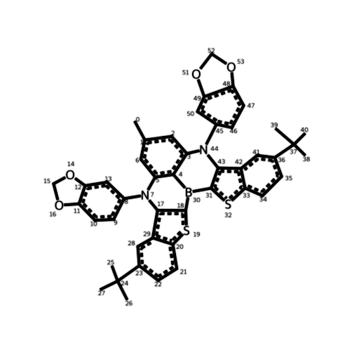 Cc1cc2c3c(c1)N(c1ccc4c(c1)OCO4)c1c(sc4ccc(C(C)(C)C)cc14)B3c1sc3ccc(C(C)(C)C)cc3c1N2c1ccc2c(c1)OCO2